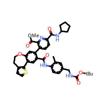 COC(=O)c1nc(C(=O)NC2CCCC2)ccc1-c1cc2c(cc1C(=O)Nc1ccc(CNC(=O)OC(C)(C)C)cc1C)-c1sccc1CCO2